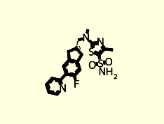 Cc1nc(N(C)C[C@@H]2Cc3cc(F)c(-c4ccccn4)cc3C2)sc1S(N)(=O)=O